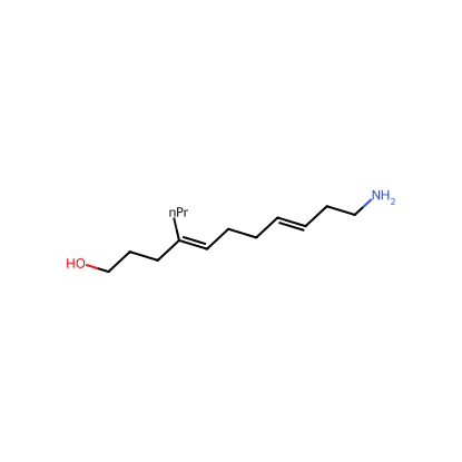 CCC/C(=C\CC/C=C/CCN)CCCO